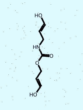 O=C(NCC=CO)OCC=CO